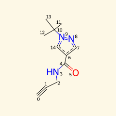 C#CCNC(=O)c1cnn(C(C)(C)C)c1